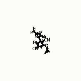 N#Cc1c(OC2CC2)cc(Cl)c(F)c1-c1nn(C(F)F)cc1Br